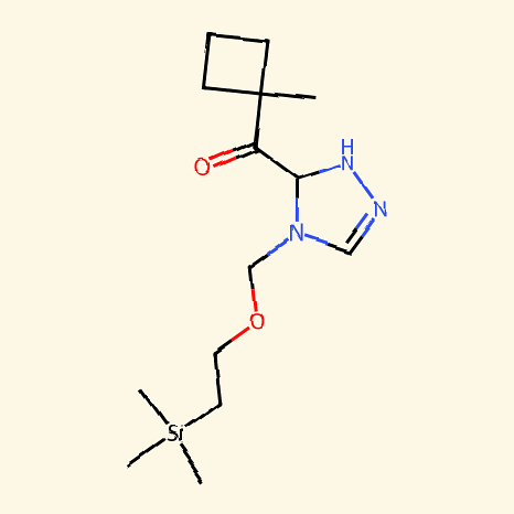 CC1(C(=O)C2NN=CN2COCC[Si](C)(C)C)CCC1